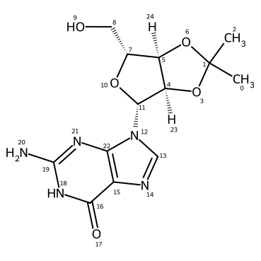 CC1(C)O[C@@H]2[C@H](O1)[C@@H](CO)O[C@H]2n1cnc2c(=O)[nH]c(N)nc21